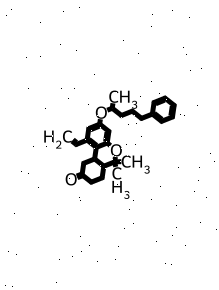 C=Cc1cc(OC(C)CCCc2ccccc2)cc2c1C1CC(=O)CCC1C(C)(C)O2